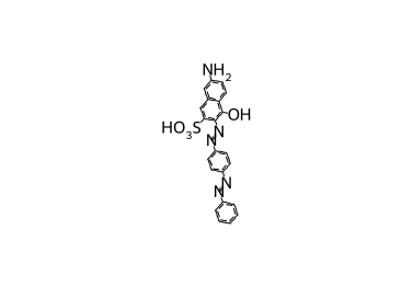 Nc1ccc2c(O)c(N=Nc3ccc(N=Nc4ccccc4)cc3)c(S(=O)(=O)O)cc2c1